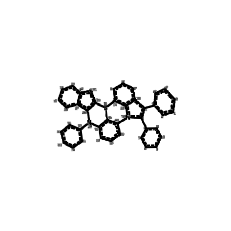 c1ccc(-c2c(-c3ccccc3)n3c4c(cccc24)B2c4sc5ccccc5c4N(c4ccccc4)c4cccc-3c42)cc1